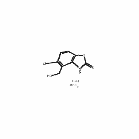 OCc1c(Cl)ccc2sc(=S)[nH]c12.[AlH3].[LiH]